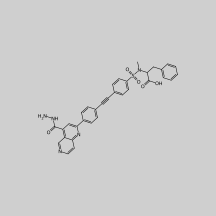 CN(C(Cc1ccccc1)C(=O)O)S(=O)(=O)c1ccc(C#Cc2ccc(-c3cc(C(=O)NN)c4cnccc4n3)cc2)cc1